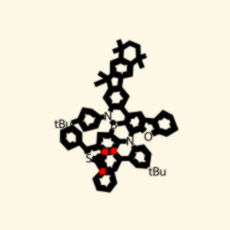 CC(C)(C)c1ccc(N2B3c4cc5c(-c6ccccc6)sc(-c6ccccc6)c5cc4N(c4ccc(C(C)(C)C)cc4-c4ccccc4)c4c3c(cc3c4oc4ccccc43)-c3cc4c(cc32)C(C)(C)c2cc3c(cc2-4)C(C)(C)CCC3(C)C)cc1